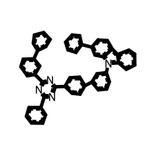 c1ccc(-c2cccc(-c3nc(-c4ccccc4)nc(-c4ccc(-c5cccc(-n6c7ccccc7c7ccc(-c8ccccc8)cc76)c5)cc4)n3)c2)cc1